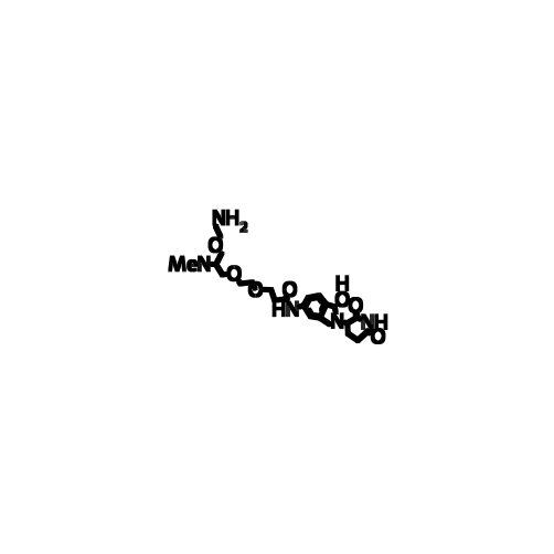 CNC(COCCN)COCCOCCC(=O)Nc1ccc2c(c1)CN(C1CCC(=O)NC1=O)C2O